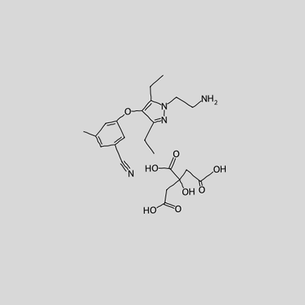 CCc1nn(CCN)c(CC)c1Oc1cc(C)cc(C#N)c1.O=C(O)CC(O)(CC(=O)O)C(=O)O